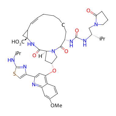 COc1ccc2c(O[C@@H]3C[C@H]4C(=O)N[C@]5(C(=O)O)CC5/C=C\CCCCC[C@H](NC(=O)N[C@H](CN5CCCC5=O)C(C)C)C(=O)N4C3)cc(-c3csc(NC(C)C)n3)nc2c1